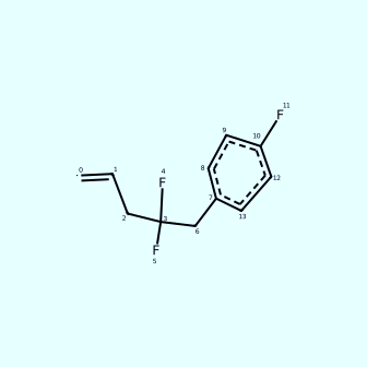 [CH]=CCC(F)(F)Cc1ccc(F)cc1